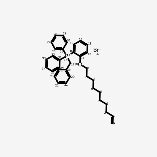 C=CCCCCCCCCOc1ccccc1[P+](Cc1ccccc1)(c1ccccc1)c1ccccc1.[Br-]